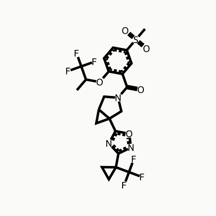 CC(Oc1ccc(S(C)(=O)=O)cc1C(=O)N1CC2CC2(c2nc(C3(C(F)(F)F)CC3)no2)C1)C(F)(F)F